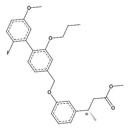 CCCOc1cc(COc2cccc([C@@H](C)CC(=O)OC)c2)ccc1-c1cc(OC)ccc1F